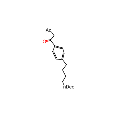 CCCCCCCCCCCCCCc1ccc(C(=O)CC(C)=O)cc1